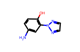 Nc1ccc(O)c(-n2nccn2)c1